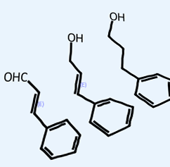 O=C/C=C/c1ccccc1.OC/C=C/c1ccccc1.OCCCc1ccccc1